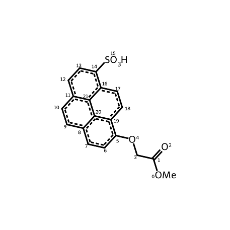 COC(=O)COc1ccc2ccc3ccc(S(=O)(=O)O)c4ccc1c2c34